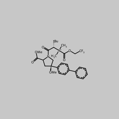 COC(=O)C1C[C@@](OC)(c2ccc(-c3ccccc3)cc2)CN1C(=O)[C@H](C(C)(C)C)[N+](C)(C)C(=O)OCC(F)(F)F